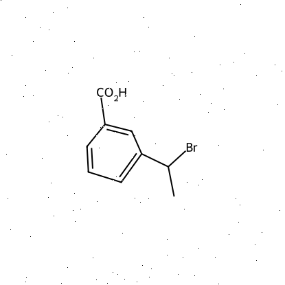 CC(Br)c1cccc(C(=O)O)c1